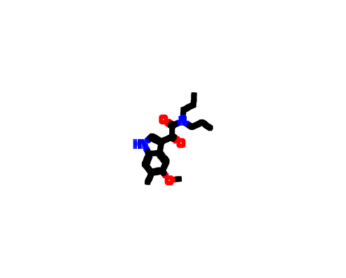 CCCN(CCC)C(=O)C(=O)c1c[nH]c2cc(C)c(OC)cc12